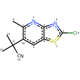 Cc1nc2nc(Cl)sc2cc1C(C)(C)C#N